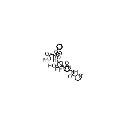 CC(C)OC(=O)[C@H](C)NP(=O)(OC[C@H]1O[C@@H](n2ccc(NC(=O)C3CCCN(C)C3)nc2=O)C(F)(F)[C@@H]1O)Oc1ccccc1